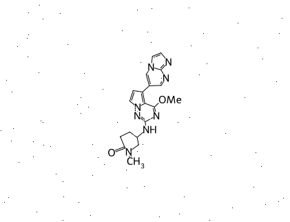 COc1nc(NC2CCC(=O)N(C)C2)nn2ccc(-c3cnc4nccn4c3)c12